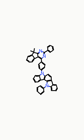 CC1(C)c2ccccc2-c2c(-c3ccc(-n4c5ccccc5c5c4ccc4c6ccccc6n(-c6ccccc6)c45)cc3)nc(-c3ccccc3)nc21